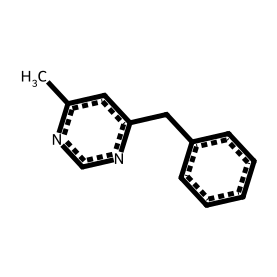 Cc1cc(Cc2ccccc2)ncn1